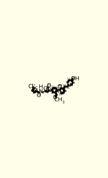 COCc1cc(N2C[C@H](CNC(=O)c3ccc(Cl)s3)OC2=O)ccc1-n1cccc(CCN2CCC(O)CC2)c1=O